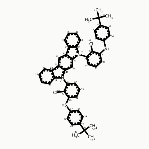 CC(C)(C)c1ccc(Sc2cccc(-n3c4ccccc4c4cc5c6ccccc6n(-c6cccc(Sc7ccc(C(C)(C)C)cc7)c6Cl)c5cc43)c2Cl)cc1